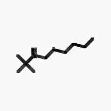 CCCC[CH]CNC(C)(C)C